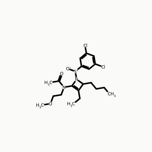 CCCCC1C(CC)=C(N(CCOC)C(C)=O)N1[S+]([O-])c1cc(Cl)cc(Cl)c1